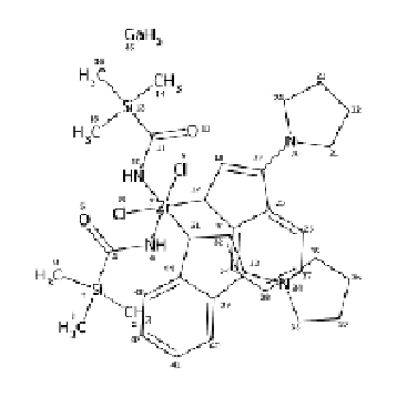 C[Si](C)(C)C(=O)[NH][Zr]([Cl])([Cl])([NH]C(=O)[Si](C)(C)C)([CH]1C=C(N2CCCC2)c2ccccc21)[CH]1C=C(N2CCCC2)c2ccccc21.[GaH3]